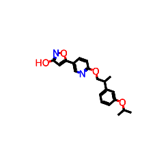 CC(C)Oc1cccc(C(C)COc2ccc(-c3cc(O)no3)cn2)c1